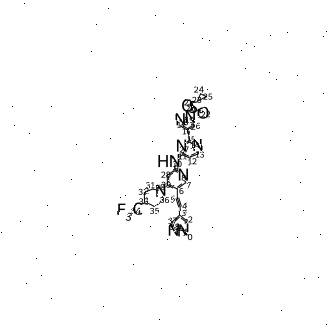 Cn1cc(C#Cc2cnc(Nc3ccnc(-c4cnn(S(=O)(=O)C5CC5)c4)n3)cc2N2CCC(C(F)(F)F)CC2)cn1